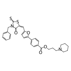 O=C(OCCCN1CCCCC1)c1ccc(-c2ccc(/C=C3/SC(=S)N(Cc4ccccc4)C3=O)o2)cc1